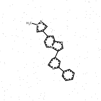 Cn1cc(-c2ccn3c(-c4ccnc(-c5ccccc5)c4)cnc3c2)cn1